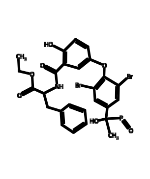 CCOC(=O)C(Cc1ccccc1)NC(=O)c1cc(Oc2c(Br)cc(C(C)(O)P=O)cc2Br)ccc1O